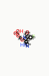 O=C(O)CO[C@H]1C[C@H](Oc2nc(C3CCOCC3)c(-c3ccc(F)cc3)c3cc4cn[nH]c4cc23)C1